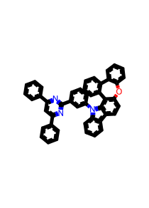 c1ccc(-c2cc(-c3ccccc3)nc(-c3cccc(-n4c5ccccc5c5ccc6c(c54)-c4ccccc4-c4ccccc4O6)c3)n2)cc1